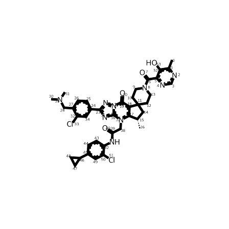 Cc1ncnc(C(=O)N2CCC3(CC2)C[C@H](C)c2c3c(=O)n3nc(-c4ccc(CN(C)C)c(Cl)c4)nc3n2CC(=O)Nc2ccc(C3CC3)cc2Cl)c1O